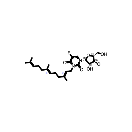 CC(C)=CCC/C(C)=C/CC/C(C)=C/Cn1c(=O)c(F)cn([C@@H]2O[C@H](CO)[C@@H](O)[C@@H]2O)c1=O